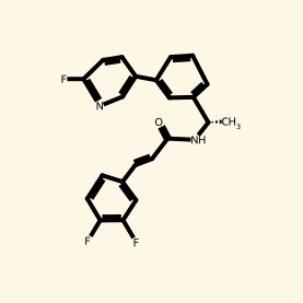 C[C@H](NC(=O)/C=C/c1ccc(F)c(F)c1)c1cccc(-c2ccc(F)nc2)c1